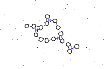 c1ccc(-c2ccc(-n3c4ccc(-c5ccc6c(c5)c5ccccc5n6-c5ccccc5)cc4c4ccc(-c5ccc(-c6cccc(-n7c8ccccc8c8cc(-c9ccc%10c(c9)c9ccc(-c%11ccccc%11)cc9n%10-c9cccc(-c%10ccccc%10)c9)ccc87)c6)cc5)cc43)cc2)cc1